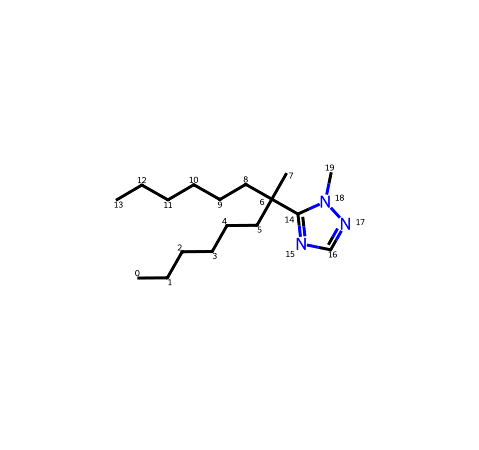 CCCCCCC(C)(CCCCCC)c1ncnn1C